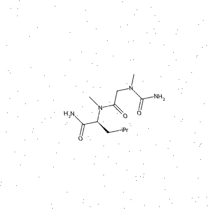 CC(C)C[C@@H](C(N)=O)N(C)C(=O)CN(C)C(N)=O